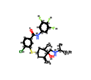 C=C1C[C@H](Sc2cc(C(=O)Nc3cc(F)c(F)c(F)c3)ccc2Cl)CC(C)[C@]1(O)CN[C@H](C(=O)OCC)C(C)C